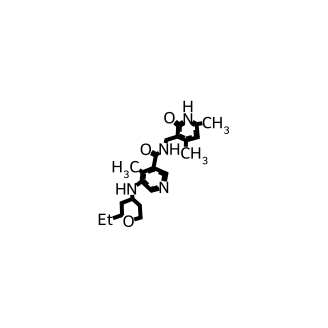 CCC1CC(Nc2cncc(C(=O)NCc3c(C)cc(C)[nH]c3=O)c2C)CCO1